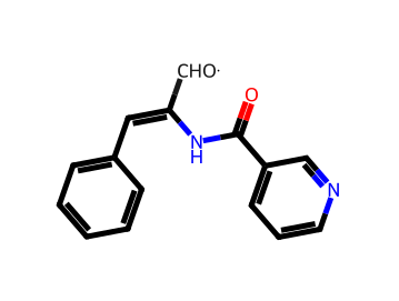 O=[C]C(=Cc1ccccc1)NC(=O)c1cccnc1